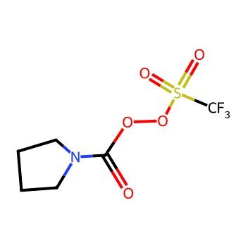 O=C(OOS(=O)(=O)C(F)(F)F)N1CCCC1